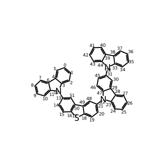 c1ccc2c(c1)c1ccccc1n2-c1ccc2sc3ccc(-n4c5ccccc5c5cc(-n6c7ccccc7c7ccccc76)ccc54)cc3c2c1